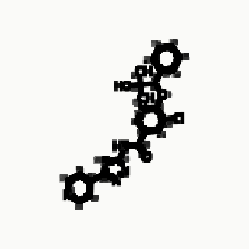 CC(C)(O)C(Oc1ncc(C(=O)Nc2nnc(-c3ccncc3)s2)cc1Cl)c1ccccc1